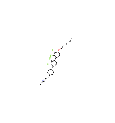 C/C=C/CCC1CCC(c2ccc(-c3ccc(OCCCCCCC)c(F)c3F)c(F)c2F)CC1